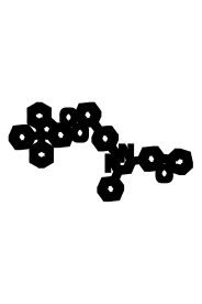 c1ccc(-c2cc(-c3ccc4c(c3)oc3ccccc34)nc(-c3ccc(-c4cccc5c4Oc4ccc6c(c4O5)-c4ccccc4C6(c4ccccc4)c4ccccc4)cc3)n2)cc1